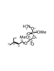 COP(=O)(ON)OP(=O)(OC)OCC=C(C)C